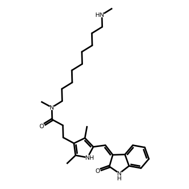 CNCCCCCCCCCN(C)C(=O)CCc1c(C)[nH]c(/C=C2\C(=O)Nc3ccccc32)c1C